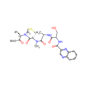 CSC(=O)[C@@H](C(C)C)N(C)C(=O)[C@H](CS)N(C)C(=O)C(C)NC(=O)C(CO)NC(=O)c1cnc2ccccc2n1